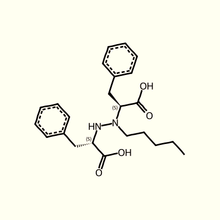 CCCCCN(N[C@@H](Cc1ccccc1)C(=O)O)[C@@H](Cc1ccccc1)C(=O)O